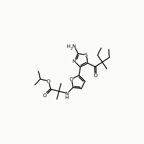 CCC(C)(CC)C(=O)c1sc(N)nc1-c1ccc(NC(C)(C)C(=O)OC(C)C)o1